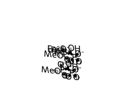 COP(=O)([O-])C(O)P(=O)([O-])[O-].COP(=O)([O-])C(O)P(=O)([O-])[O-].[Fe+2].[Fe+2].[Fe+2]